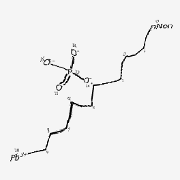 CCCCCCCCCCCCCCCCC[CH2][Pb+3].O=P([O-])([O-])[O-]